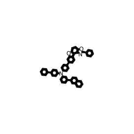 c1ccc(-c2ccc(N(c3ccc(-c4ccc5c(c4)oc4ccc6oc(-c7ccccc7)nc6c45)cc3)c3cccc(-c4ccc5ccccc5c4)c3)cc2)cc1